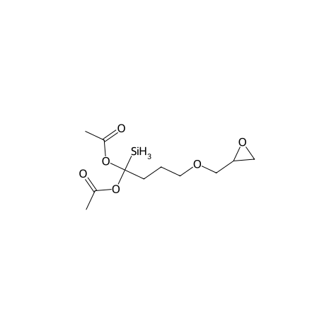 CC(=O)OC([SiH3])(CCCOCC1CO1)OC(C)=O